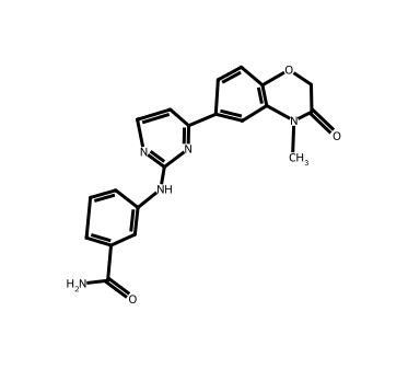 CN1C(=O)COc2ccc(-c3ccnc(Nc4cccc(C(N)=O)c4)n3)cc21